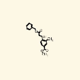 COC(=O)c1ccc(NCC(=O)OCc2ccccc2)c(C)c1